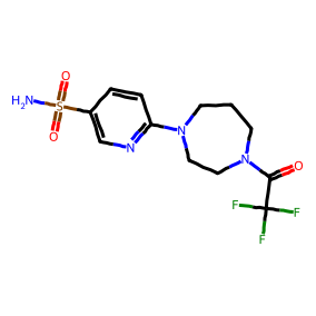 NS(=O)(=O)c1ccc(N2CCCN(C(=O)C(F)(F)F)CC2)nc1